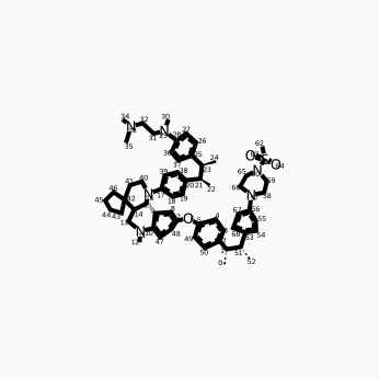 C[C@H](c1ccc(Oc2ccc(N(C)CC3CN(c4ccc([C@H](C)[C@H](C)c5ccc(N(C)CCN(C)C)cc5)cc4)CCC34CCCC4)cc2)cc1)[C@@H](C)c1ccc(N2CCN(S(C)(=O)=O)CC2)cc1